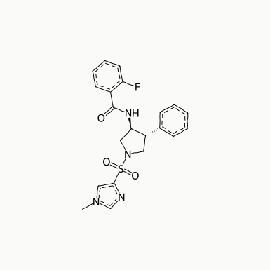 Cn1cnc(S(=O)(=O)N2C[C@@H](NC(=O)c3ccccc3F)[C@H](c3ccccc3)C2)c1